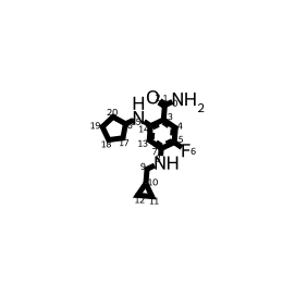 NC(=O)c1cc(F)c(NCC2CC2)cc1NC1CCCC1